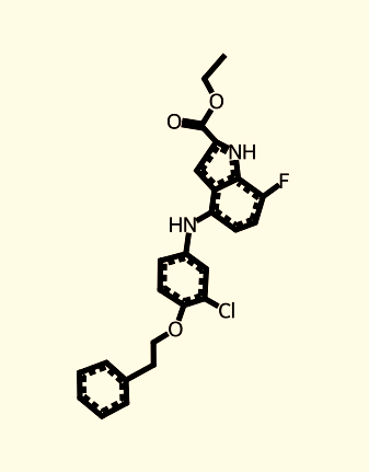 CCOC(=O)c1cc2c(Nc3ccc(OCCc4ccccc4)c(Cl)c3)ccc(F)c2[nH]1